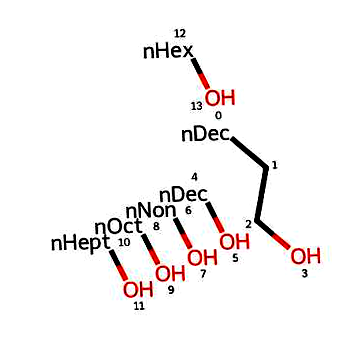 CCCCCCCCCCCCO.CCCCCCCCCCO.CCCCCCCCCO.CCCCCCCCO.CCCCCCCO.CCCCCCO